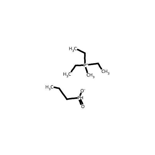 CCC[PH](=O)[O-].CC[P+](C)(CC)CC